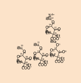 CCC(C)OC(OC(C)CC)C(=O)C(CC)(CC)C(=O)[O-].CCC(C)OC(OC(C)CC)C(=O)C(CC)(CC)C(=O)[O-].CCC(C)OC(OC(C)CC)C(=O)C(CC)(CC)C(=O)[O-].CCC(C)OC(OC(C)CC)C(=O)C(CC)(CC)C(=O)[O-].[Ti+4]